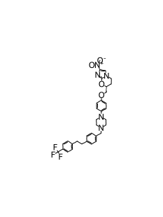 O=[N+]([O-])c1cn2c(n1)O[C@H](COc1ccc(N3CCN(Cc4ccc(CCc5ccc(C(F)(F)F)cc5)cc4)CC3)cc1)CC2